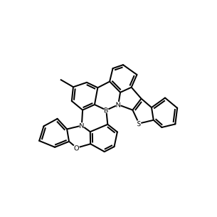 Cc1cc2c3c(c1)N1c4ccccc4Oc4cccc(c41)B3n1c3sc4ccccc4c3c3cccc-2c31